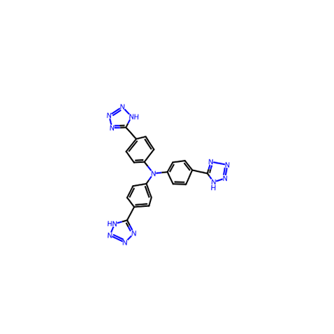 c1cc(N(c2ccc(-c3nnn[nH]3)cc2)c2ccc(-c3nnn[nH]3)cc2)ccc1-c1nnn[nH]1